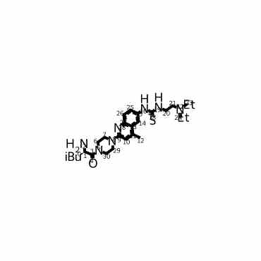 CCC(C)[C@H](N)C(=O)N1CCN(c2cc(C)c3cc(NC(=S)NCCN(CC)CC)ccc3n2)CC1